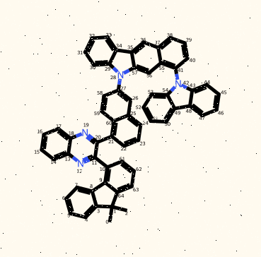 CC1(C)c2ccccc2-c2c(-c3nc4ccccc4nc3-c3cccc4cc(-n5c6ccccc6c6cc7cccc(-n8c9ccccc9c9ccccc98)c7cc65)ccc34)cccc21